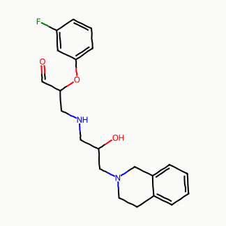 O=CC(CNCC(O)CN1CCc2ccccc2C1)Oc1cccc(F)c1